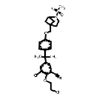 CC(C)(c1ccc(OCC23CCN(S(C)(=O)=O)C(C2)C3)cc1)c1cc(Cl)c(OCCCl)c(C#N)c1